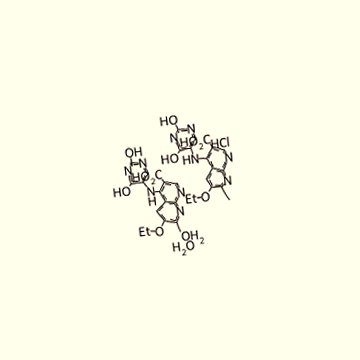 CCOc1cc2c(Nc3cnc(O)nc3O)c(C(=O)O)cnc2nc1C.CCOc1cc2c(Nc3cnc(O)nc3O)c(C(=O)O)cnc2nc1C.Cl.O.O